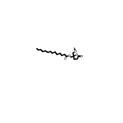 CCCCCCCCCCCCCC(=O)OCC1(COI)CCC(=O)O1